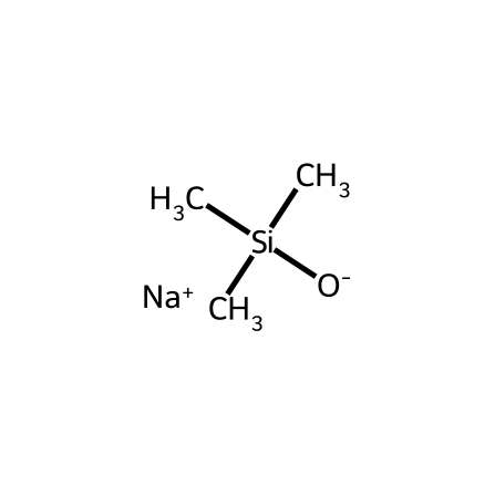 C[Si](C)(C)[O-].[Na+]